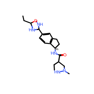 CCC1NC(c2ccc3c(c2)CC[C@H]3NC(=O)C2CCNN(C)C2)NO1